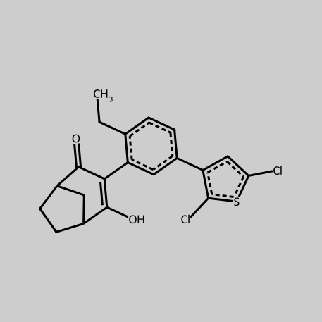 CCc1ccc(-c2cc(Cl)sc2Cl)cc1C1=C(O)C2CCC(C2)C1=O